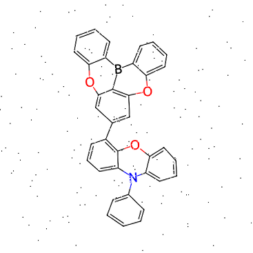 c1ccc(N2c3ccccc3Oc3c(-c4cc5c6c(c4)Oc4ccccc4B6c4ccccc4O5)cccc32)cc1